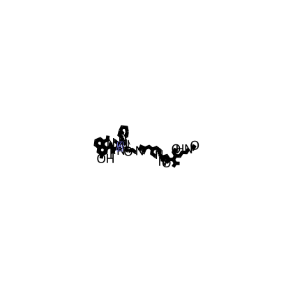 C=N/C(=C1/C=NC(c2cc(O)cc3cccc(CC)c23)=C(F)/C1=N/COCCN1CC(CC2CCN(c3cc(C(C(C)C)C(C=O)CCCNC=O)on3)CC2)C1)N1CC2CCC(C1)N2